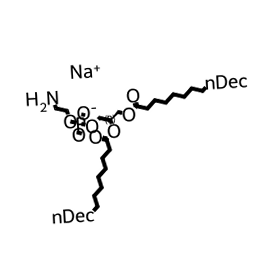 CCCCCCCCCCCCCCCCCC(=O)OC[C@H](COP(=O)([O-])OCCN)OC(=O)CCCCCCCCCCCCCCCCC.[Na+]